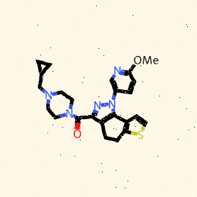 COc1ccc(-n2nc(C(=O)N3CCN(CC4CC4)CC3)c3c2-c2ccsc2CC3)cn1